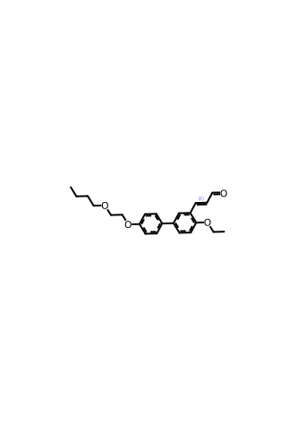 CCCCOCCOc1ccc(-c2ccc(OCC)c(/C=C/C=O)c2)cc1